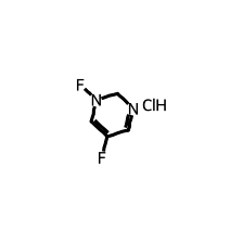 Cl.FC1=CN(F)CN=C1